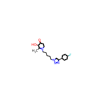 Cc1c(O)c(=O)ccn1CCCCCn1cc(-c2ccc(F)cc2)nn1